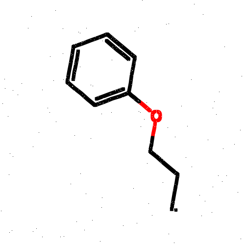 [CH2]CCOc1ccccc1